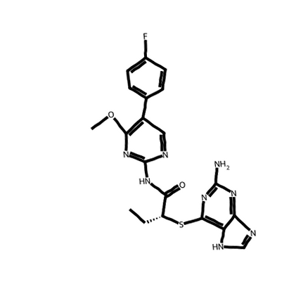 CC[C@@H](Sc1nc(N)nc2nc[nH]c12)C(=O)Nc1ncc(-c2ccc(F)cc2)c(OC)n1